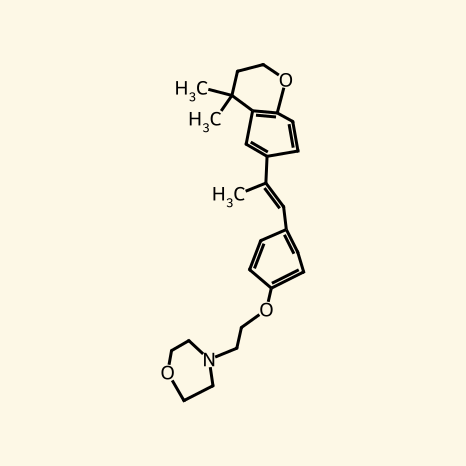 CC(=Cc1ccc(OCCN2CCOCC2)cc1)c1ccc2c(c1)C(C)(C)CCO2